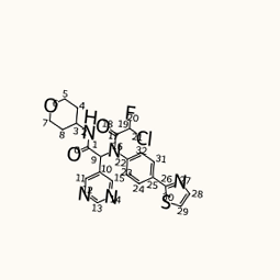 O=C(NC1CCOCC1)C(c1cncnc1)N(C(=O)C(F)Cl)c1ccc(-c2nccs2)cc1